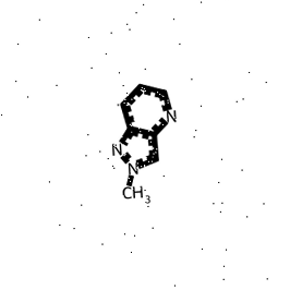 Cn1cc2ncc[c]c2n1